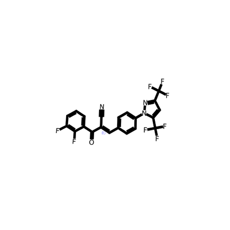 N#C/C(=C\c1ccc(-n2nc(C(F)(F)F)cc2C(F)(F)F)cc1)C(=O)c1cccc(F)c1F